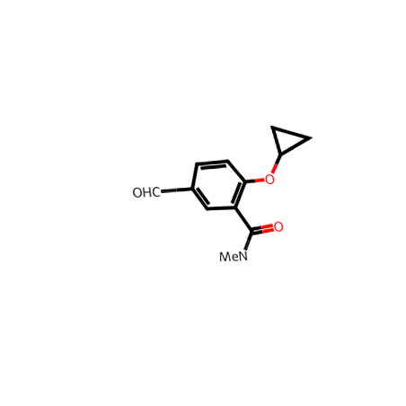 CNC(=O)c1cc(C=O)ccc1OC1CC1